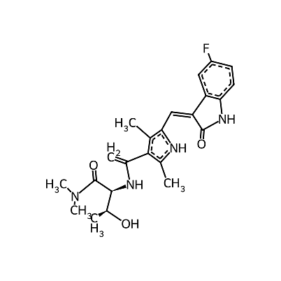 C=C(N[C@H](C(=O)N(C)C)[C@H](C)O)c1c(C)[nH]c(/C=C2\C(=O)Nc3ccc(F)cc32)c1C